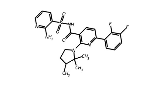 CC1CCN(c2nc(-c3cccc(F)c3F)ccc2C(=O)NS(=O)(=O)c2cccnc2N)C1(C)C